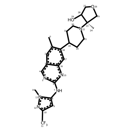 Cc1cc2cnc(Nc3cc(C(F)(F)F)nn3C)nc2cc1C1CCN([C@]2(C)COCC2O)CC1